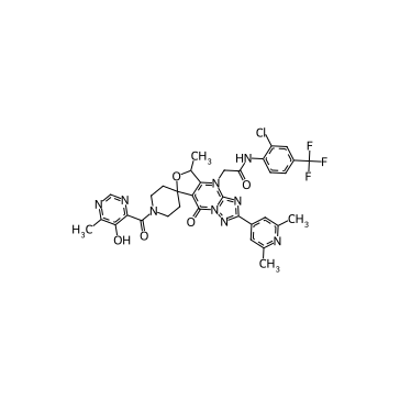 Cc1cc(-c2nc3n(CC(=O)Nc4ccc(C(F)(F)F)cc4Cl)c4c(c(=O)n3n2)C2(CCN(C(=O)c3ncnc(C)c3O)CC2)OC4C)cc(C)n1